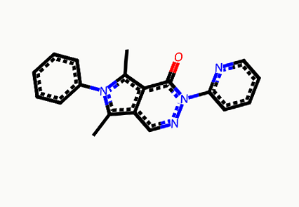 Cc1c2cnn(-c3ccccn3)c(=O)c2c(C)n1-c1ccccc1